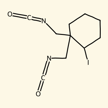 O=C=NCC1(CN=C=O)CCCCC1I